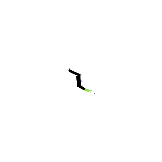 [CH2]/C=C/F